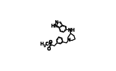 CS(=O)(=O)Cc1cccc(CN2CCC[C@H](Nc3ccc4[nH]ncc4c3)C2)c1